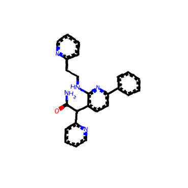 NC(=O)C(c1ccccn1)c1ccc(-c2ccccc2)nc1NCCc1ccccn1